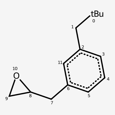 CC(C)(C)Cc1cccc(CC2CO2)c1